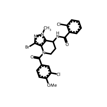 COc1ccc(C(=O)N2CCC(NC(=O)c3ccccc3Cl)c3c2c(Br)nn3C)cc1Cl